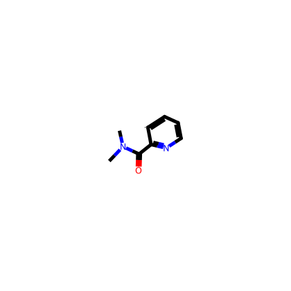 CN(C)C(=O)c1[c]cccn1